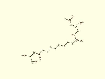 CCCCCCCCC(CCCCCC)OC(=O)CCCCCCCCC(=O)OCC(CN(C)C)OC